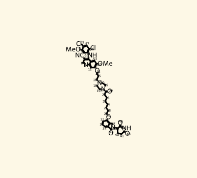 COc1cc(Nc2c(C#N)cnc3cc(OCCCN4CCN(C(=O)CCCCCCCOc5cccc6c5CN(C5CCC(=O)NC5=O)C6=O)CC4)c(OC)cc23)c(Cl)cc1Cl